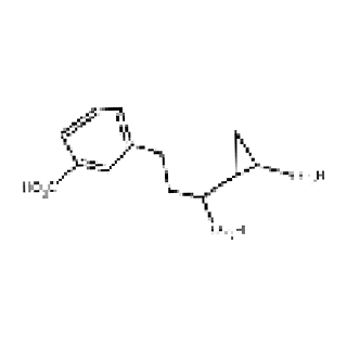 O=C(O)c1cccc(CCC(C(=O)O)C2CC2C(=O)O)c1